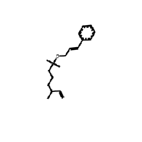 C=CC(C)CCCC(C)(C)OCC=Cc1ccccc1